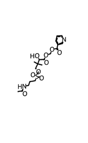 CC(=O)NCCCS(=O)(=O)OCC(C)(C)[C@@H](O)C(=O)OCOC(=O)c1cccnc1